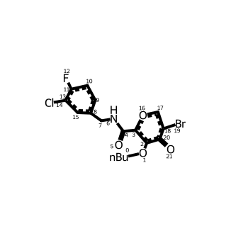 CCCCOc1c(C(=O)NCc2ccc(F)c(Cl)c2)occ(Br)c1=O